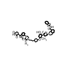 Cc1c(OC2CCC(CCCN3CCN(c4cccc5c(C6CCC(=O)NC6=O)nn(C)c45)C[C@H]3C)CC2)cccc1-c1ccc(N2CCc3cccc(C(=O)Nc4nc5ccccc5s4)c3C2)nc1C(=O)O